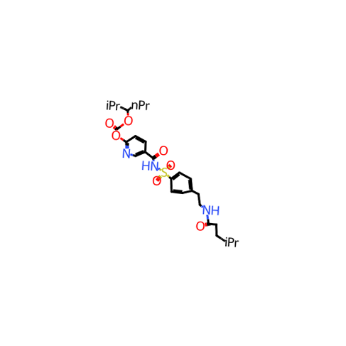 CCCC(OC(=O)Oc1ccc(C(=O)NS(=O)(=O)c2ccc(CCNC(=O)CCC(C)C)cc2)cn1)C(C)C